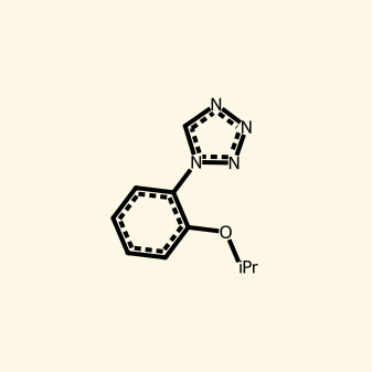 CC(C)Oc1ccccc1-n1cnnn1